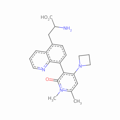 Cc1cc(N2CCC2)c(-c2ccc(CC(N)C(=O)O)c3cccnc23)c(=O)n1C